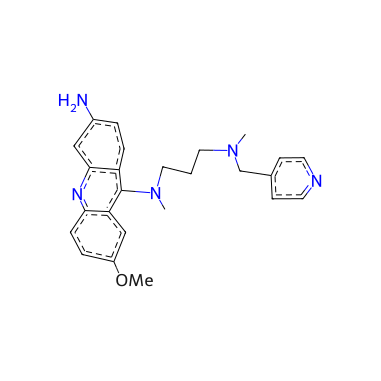 COc1ccc2nc3cc(N)ccc3c(N(C)CCCN(C)Cc3ccncc3)c2c1